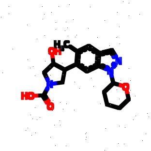 Cc1cc2cnn(C3CCCCO3)c2cc1C1CN(C(=O)O)CC1O